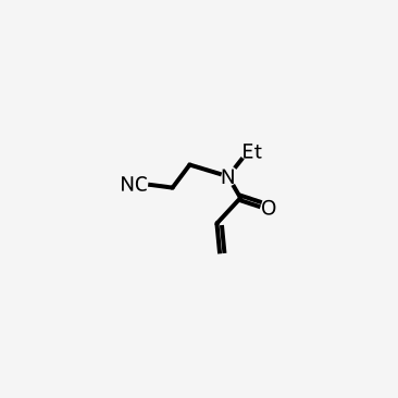 C=CC(=O)N(CC)CCC#N